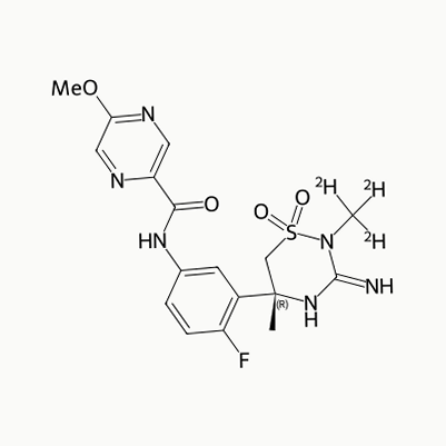 [2H]C([2H])([2H])N1C(=N)N[C@](C)(c2cc(NC(=O)c3cnc(OC)cn3)ccc2F)CS1(=O)=O